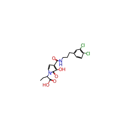 CCC(C(=O)O)n1ccc(C(=O)NCCCc2ccc(Cl)c(Cl)c2)c(O)c1=O